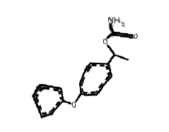 CC(OC(N)=O)c1ccc(Oc2ccccc2)cc1